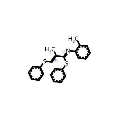 CC(=C\Sc1ccccc1)/C(=N/c1ccccc1C)Sc1ccccc1